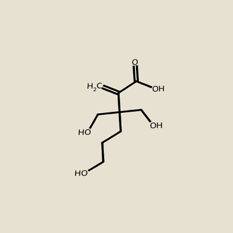 C=C(C(=O)O)C(CO)(CO)CCCO